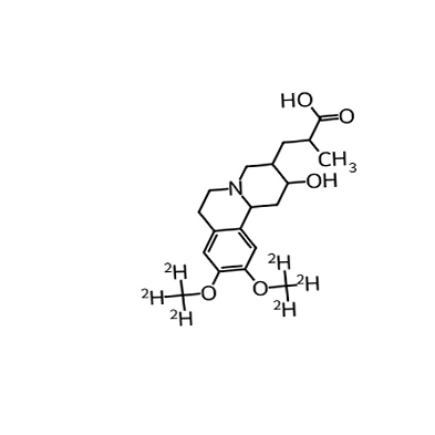 [2H]C([2H])([2H])Oc1cc2c(cc1OC([2H])([2H])[2H])C1CC(O)C(CC(C)C(=O)O)CN1CC2